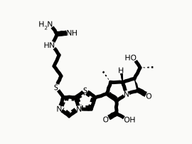 C[C@@H](O)[C@H]1C(=O)N2C(C(=O)O)=C(c3cn4cnc(SCCCNC(=N)N)c4s3)[C@H](C)[C@H]12